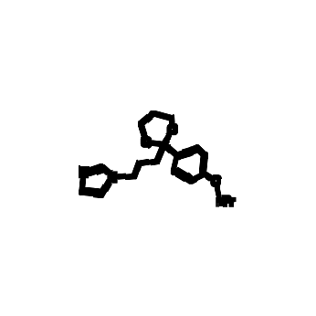 CCCOc1ccc(C2(CCCn3ccnc3)OCCCO2)cc1